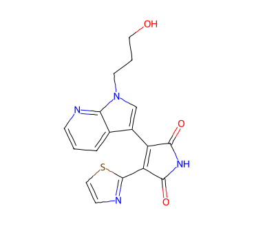 O=C1NC(=O)C(c2cn(CCCO)c3ncccc23)=C1c1nccs1